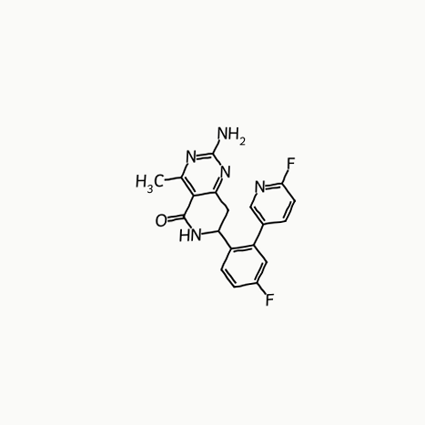 Cc1nc(N)nc2c1C(=O)NC(c1ccc(F)cc1-c1ccc(F)nc1)C2